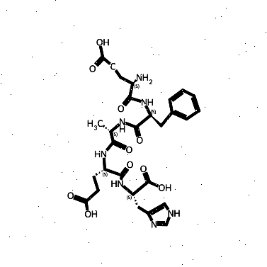 C[C@H](NC(=O)[C@H](Cc1ccccc1)NC(=O)[C@@H](N)CCC(=O)O)C(=O)N[C@@H](CCC(=O)O)C(=O)N[C@@H](Cc1c[nH]cn1)C(=O)O